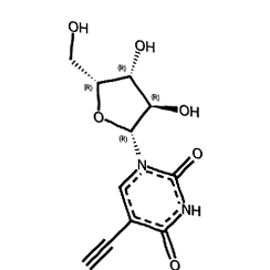 C#Cc1cn([C@@H]2O[C@H](CO)[C@H](O)[C@H]2O)c(=O)[nH]c1=O